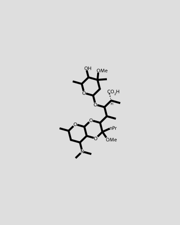 CCCC1(OC)OC2C(OC(C)CC2N(C)C)OC1C(C)C(OC1CC(C)(OC)C(O)C(C)O1)[C@@H](C)C(=O)O